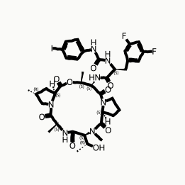 C[C@@H]1C[C@H]2C(=O)O[C@@H](C)[C@H](NC(=O)[C@H](Cc3cc(F)cc(F)c3)NC(=O)Nc3ccc(I)cc3)C(=O)N3CCC[C@H]3C(=O)N(C)[C@@H]([C@@H](C)O)C(=O)N[C@@H](C)C(=O)N2C1